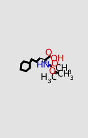 CC(C)(C)OC(=O)N[C@@H](CCCC1CCCCC1)C(=O)O